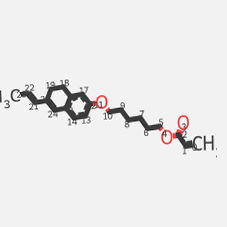 C=CC(=O)OCCCCCCOc1ccc2c(c1)CCC(/C=C/C)=C2